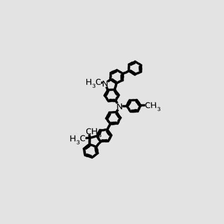 Cc1ccc(N(c2ccc(-c3ccc4c(c3)C(C)(C)c3ccccc3-4)cc2)c2ccc3c(c2)c2cc(-c4ccccc4)ccc2n3C)cc1